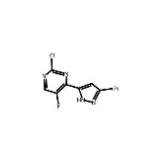 CC(C)c1cc(-c2nc(Cl)ncc2F)[nH]n1